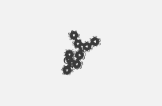 c1ccc(-c2ccc3c(c2)c2cc(-c4ccccc4)ccc2n3-c2ccc(-c3cccc4c3c3c5ccccc5oc3n4-c3ccccc3)cc2)cc1